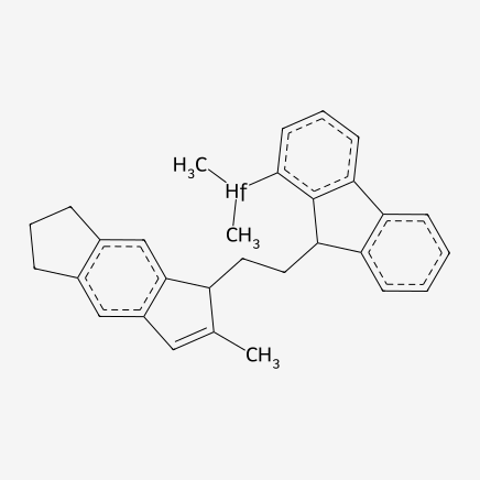 CC1=Cc2cc3c(cc2C1CCC1c2ccccc2-c2ccc[c]([Hf]([CH3])[CH3])c21)CCC3